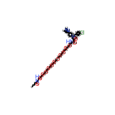 CCCCC(=O)NCCOCCOCCOCCOCCOCCOCCOCCOCCOCCOCCOCCNC(=O)C1CN(C2CCC(c3cc(C)n(C)n3)CC2)C(Cc2ccc(Cl)cc2)CO1